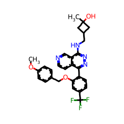 COc1ccc(COc2cc(C(F)(F)F)ccc2-c2nnc(NCC3CC(C)(O)C3)c3cnccc23)cc1